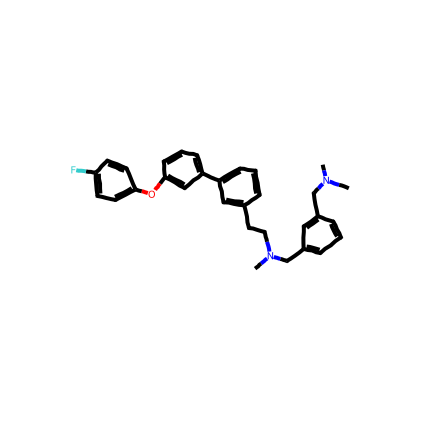 CN(C)Cc1cccc(CN(C)CCc2cccc(-c3cccc(Oc4ccc(F)cc4)c3)c2)c1